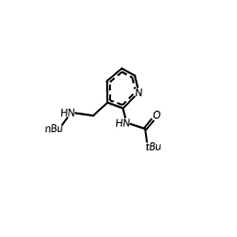 CCCCNCc1cccnc1NC(=O)C(C)(C)C